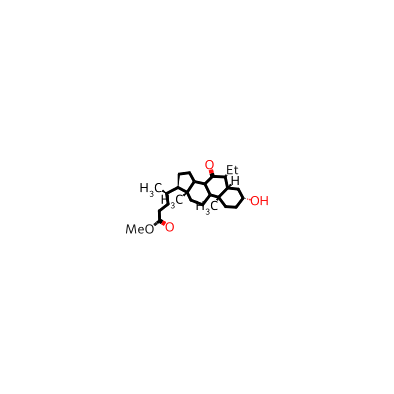 CC[C@@H]1C(=O)C2C3CC[C@H]([C@H](C)CCC(=O)OC)[C@@]3(C)CCC2[C@@]2(C)CC[C@@H](O)C[C@@H]12